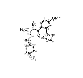 CCN(C(=O)c1ccc(OC)cc1-n1nccn1)[C@@H](C)CNc1ncc(C(F)(F)F)cn1